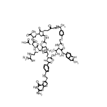 CC(=NNC(=O)CCN1C(=O)CC(SCC(NC(=O)[C@@H](CC(=O)O)NC(=O)[C@@H](CCCNC(=N)N)NC(=O)[C@H](CC(=O)O)NC(=O)CC[C@H](NC(=O)c2ccc(NCc3cnc4nc(N)[nH]c(=O)c4n3)cc2)C(=O)O)C(=O)O)C1=O)c1ccc(OCC(=O)N[C@H](C(=O)Nc2ccc3[nH]c(C)cc3c2)C(C)C)cc1